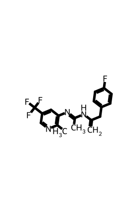 C=C(Cc1ccc(F)cc1)N/C(C)=N/c1cc(C(F)(F)F)cnc1C